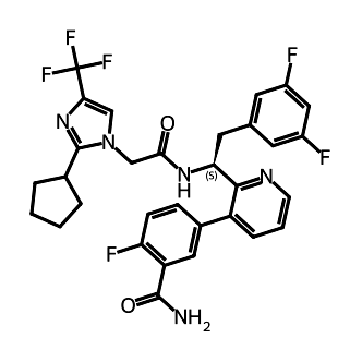 NC(=O)c1cc(-c2cccnc2[C@H](Cc2cc(F)cc(F)c2)NC(=O)Cn2cc(C(F)(F)F)nc2C2CCCC2)ccc1F